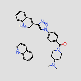 CN(C)C1CCN(C(=O)c2ccc(-n3cc(C4=Cc5ccccc5NC4)nn3)cc2)CC1.c1ccc2ncccc2c1